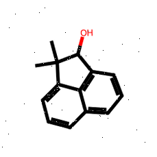 CC1(C)c2cccc3cccc(c23)C1O